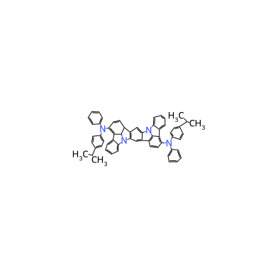 CC(C)c1ccc(N(C2=C3c4ccccc4N4c5cc6c7ccc(N(c8ccccc8)c8ccc(C(C)C)cc8)c8c9ccccc9n(c6cc5C(C=C2)C34)c78)c2ccccc2)cc1